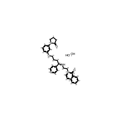 Cl.Cl.O=C1CCCN1c1cccc(OCCCC(NCCn2ccc3ccccc3c2=O)c2ccncc2)c1